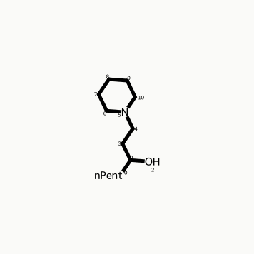 CCCCCC(O)CCN1CCCCC1